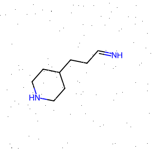 N=CCCC1CCNCC1